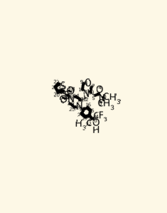 CN(C)C(=O)C[C@H]1COCCN1C[C@H]1CN(S(=O)(=O)c2cccs2)CCN1c1ccc([C@@](C)(O)C(F)(F)F)cc1